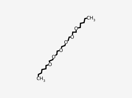 CCCCCCOCCOCCOCCOCCOCCOCCCCC